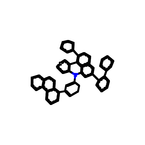 C1=C(c2cccc3c2ccc2ccccc23)C=C(N(c2cccc(-c3ccccc3-c3ccccc3)c2)c2ccccc2-c2ccccc2-c2ccccc2)CC1